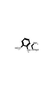 CCCCCCCCN.O=C(O)c1ccccc1O